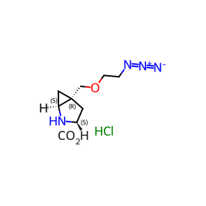 Cl.[N-]=[N+]=NCCOC[C@]12C[C@@H](C(=O)O)N[C@H]1C2